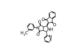 Cc1cccc(N2C(=O)C3C(=C4C(=O)c5ccccc5C4=O)NC(c4ccccn4)C3C2=O)c1